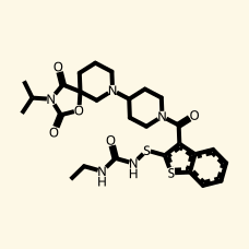 CCNC(=O)NSc1sc2ccccc2c1C(=O)N1CCC(N2CCCC3(C2)OC(=O)N(C(C)C)C3=O)CC1